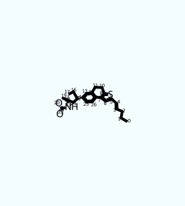 CCCC=Cc1cc2c(s1)CCc1cc([C@H]3CC[C@]4(COC(=O)N4)C3)ccc1-2